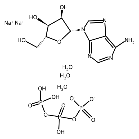 Nc1ncnc2c1ncn2[C@@H]1O[C@H](CO)[C@@H](O)[C@H]1O.O.O.O.O=P([O-])([O-])OP(=O)(O)OP(=O)(O)O.[Na+].[Na+]